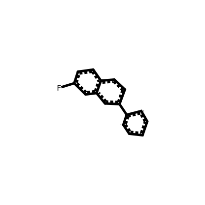 Fc1ccc2ccc(-c3[c]ccc[c]3)cc2c1